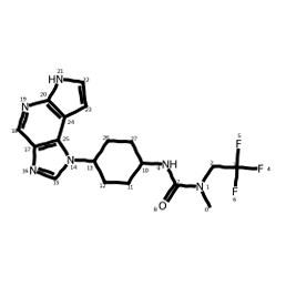 CN(CC(F)(F)F)C(=O)NC1CCC(n2cnc3cnc4[nH]ccc4c32)CC1